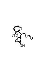 O=COCC(c1cc(O)n[nH]1)c1ncccc1Cl